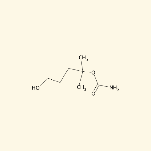 CC(C)(CCCO)OC(N)=O